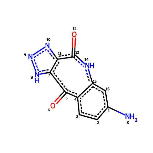 Nc1ccc2c(=O)c3[nH]nnc3c(=O)[nH]c2c1